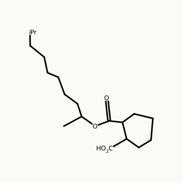 CC(C)CCCCCCC(C)OC(=O)C1CCCCC1C(=O)O